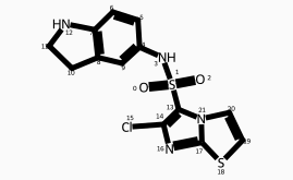 O=S(=O)(Nc1ccc2c(c1)CCN2)c1c(Cl)nc2sccn12